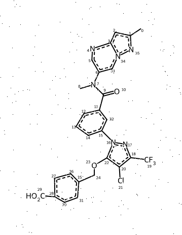 Cc1cc2ncc(N(C)C(=O)c3cccc(-n4nc(C(F)(F)F)c(Cl)c4OCc4ccc(C(=O)O)cc4)c3)cn2n1